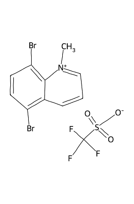 C[n+]1cccc2c(Br)ccc(Br)c21.O=S(=O)([O-])C(F)(F)F